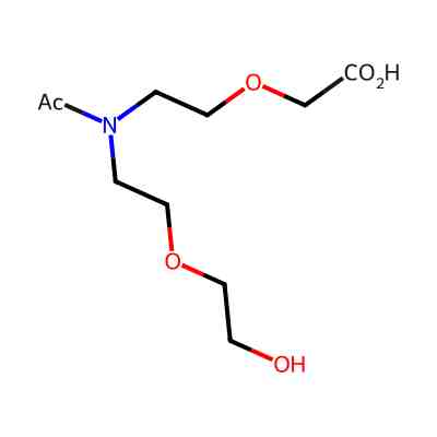 CC(=O)N(CCOCCO)CCOCC(=O)O